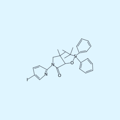 CC1(C)CN(c2ccc(I)cn2)C(=O)C1O[Si](c1ccccc1)(c1ccccc1)C(C)(C)C